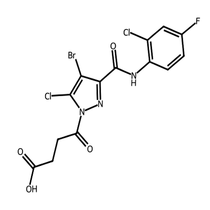 O=C(O)CCC(=O)n1nc(C(=O)Nc2ccc(F)cc2Cl)c(Br)c1Cl